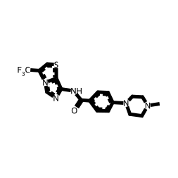 CN1CCN(c2ccc(C(=O)Nc3ncn4c(C(F)(F)F)csc34)cc2)CC1